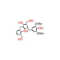 COc1cc(Cc2cc(CO)c(O)c(Cc3cccc(CO)c3O)c2)cc(OC)c1O